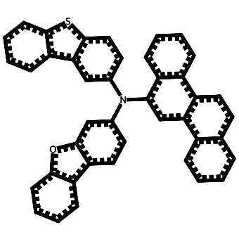 c1ccc2c(c1)ccc1c3ccccc3c(N(c3ccc4c(c3)oc3ccccc34)c3ccc4sc5ccccc5c4c3)cc21